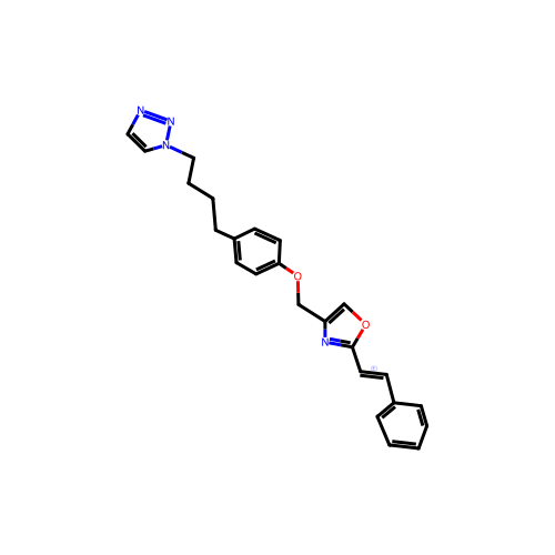 C(=C\c1nc(COc2ccc(CCCCn3ccnn3)cc2)co1)/c1ccccc1